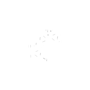 CN(Cc1ccc(OC(C(=O)O)c2cc(F)cc(C#N)c2)cc1)S(=O)(=O)c1ccc(Cl)c(Cl)c1